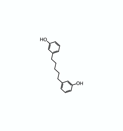 Oc1cccc(CCCCCc2cccc(O)c2)c1